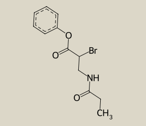 CCC(=O)NCC(Br)C(=O)Oc1ccccc1